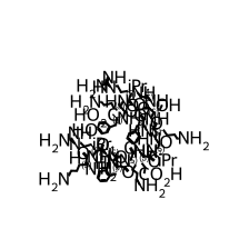 CC(C)C[C@H](NC(=O)[C@H](CO)NC(=O)[C@H](Cc1ccccc1)NC(=O)[C@H](CCCCN)NC(=O)[C@H](CC(C)C)NC(=O)[C@H](CCC(=O)O)NC(=O)[C@H](CCCCN)NC(=O)[C@H](Cc1ccccc1)NC(=O)[C@H](CC(C)C)NC(=O)[C@H](CCCNC(=N)N)NC(=O)[C@@H](N)CCCCN)C(=O)N[C@@H](CCCNC(=N)N)C(=O)N[C@@H](CCCCN)C(=O)N[C@@H](Cc1ccc(O)cc1)C(=O)O